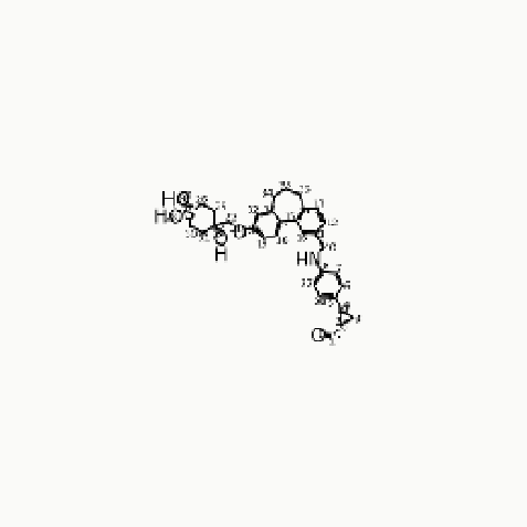 O=[C][C@H]1C[C@@H]1c1ccc(NCc2ccc3c(c2)-c2ccc(OCC4(O)CCS(O)(O)CC4)cc2CCC3)cc1